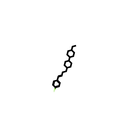 CCC1CCC(C2CCC(CCC=Cc3ccc(F)cc3)CC2)CC1